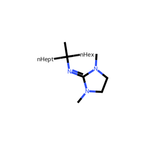 CCCCCCCC(C)(CCCCCC)N=C1N(C)CCN1C